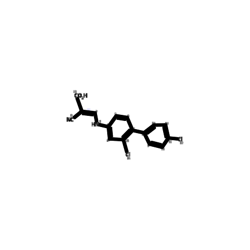 N#C/C(=C\Nc1ccc(-c2ccc(Cl)cc2)c(Cl)c1)C(=O)O